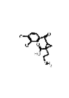 NCCC1(C(=O)O)CC1C(=O)c1ccc(Cl)c(Cl)c1